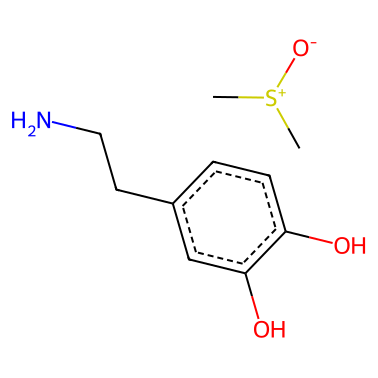 C[S+](C)[O-].NCCc1ccc(O)c(O)c1